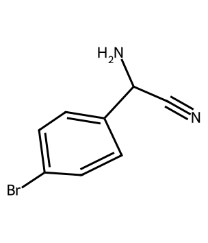 N#CC(N)c1ccc(Br)cc1